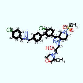 C[C@@H]1COCCN1C[C@H](O)Cn1nc(-c2ccc(Cl)c(-c3ccc(CNCc4ccc(Cl)cc4)cc3)c2)c2c1CCN(S(C)(=O)=O)C2